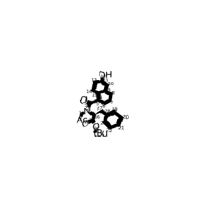 CC(=O)CN(C(=O)c1cccc2cc(O)ccc12)[C@@H](Cc1ccccc1)C(=O)OC(C)(C)C